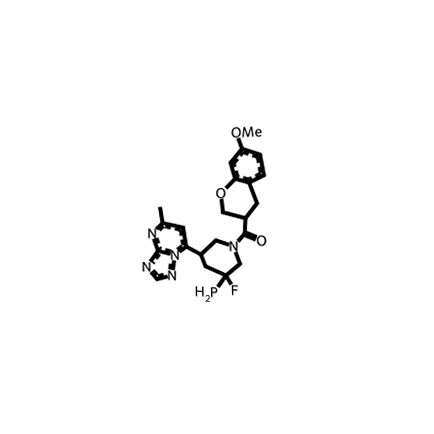 COc1ccc2c(c1)OCC(C(=O)N1CC(c3cc(C)nc4ncnn34)CC(F)(P)C1)C2